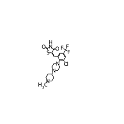 CN1CCC(N2CCN(c3c(Cl)cc(C(F)(F)F)cc3C=C3SC(=O)NC3=O)CC2)CC1